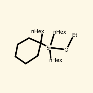 CCCCCCC1([Si](CCCCCC)(CCCCCC)OCC)CCCCC1